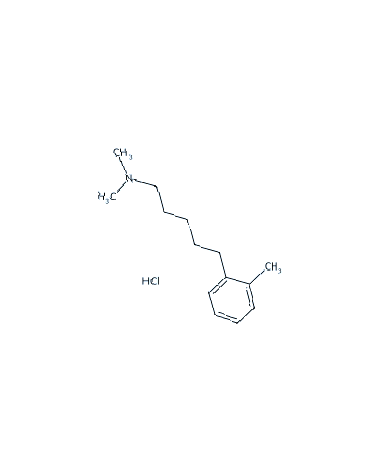 Cc1ccccc1CCCCCN(C)C.Cl